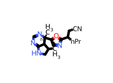 CCCC(CC#N)c1ncc([C@@]2(C)N=CN=C3NCC(C)C32)o1